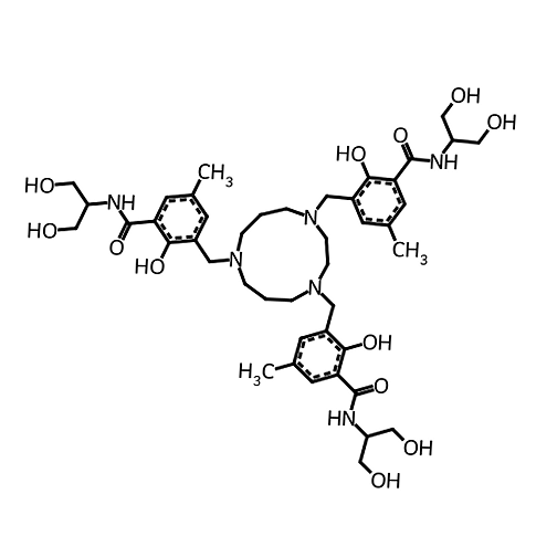 Cc1cc(CN2CCCN(Cc3cc(C)cc(C(=O)NC(CO)CO)c3O)CCN(Cc3cc(C)cc(C(=O)NC(CO)CO)c3O)CCC2)c(O)c(C(=O)NC(CO)CO)c1